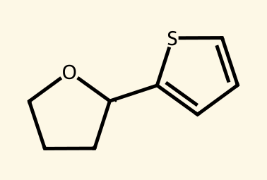 c1csc([C]2CCCO2)c1